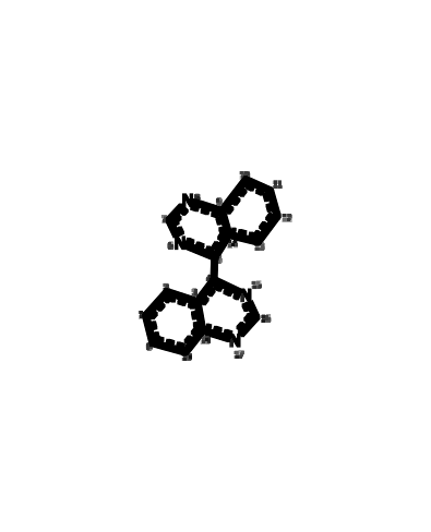 c1ccc2c(-c3ncnc4ccccc34)ncnc2c1